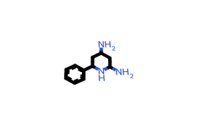 NC1CC(N)NC(c2ccccc2)C1